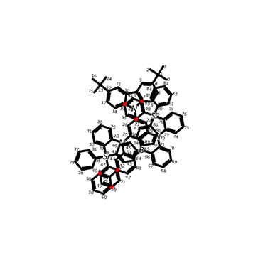 CC(C)(C)c1ccc2c(c1)c1cc(C(C)(C)C)ccc1n2-c1cc2c3c(c1)N(c1ccccc1[Si](c1ccccc1)(c1ccccc1)c1ccccc1)c1cc(-c4ccccc4)ccc1B3c1ccccc1N2c1ccccc1[Si](c1ccccc1)(c1ccccc1)c1ccccc1